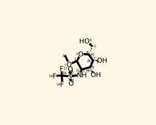 COC1O[C@H](CO)[C@H](O)[C@H](O)[C@H]1NS(=O)(=O)C(F)(F)F